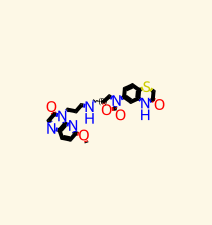 COc1ccc2ncc(=O)n(CCCNC[C@@H]3CN(c4ccc5c(c4)NC(=O)CS5)C(=O)O3)c2n1